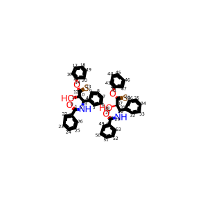 O=C(NC(c1ccccc1)C(O)C(=S)Oc1ccccc1)c1ccccc1.O=C(N[C@@H](c1ccccc1)[C@@H](O)C(=S)Oc1ccccc1)c1ccccc1